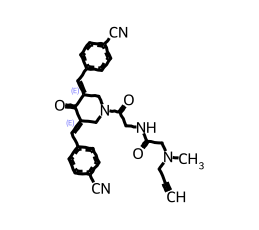 C#CCN(C)CC(=O)NCC(=O)N1C/C(=C\c2ccc(C#N)cc2)C(=O)/C(=C/c2ccc(C#N)cc2)C1